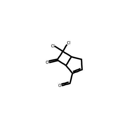 O=CC1=CCC2C1C(=O)C2(Cl)Cl